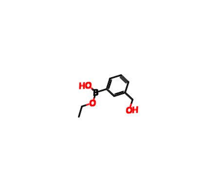 CCOB(O)c1cccc(CO)c1